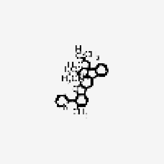 Cc1ccc2c(oc3nc4c(cc32)-c2ccccc2C4(CC(C)(C)C)CC(C)(C)C)c1-c1ccccn1